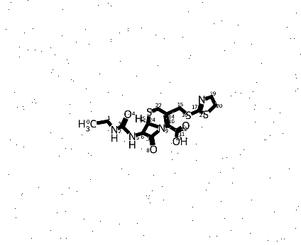 CCNC(=O)NC1C(=O)N2C(C(=O)O)=C(CSC3=NCCS3)CS[C@H]12